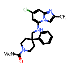 CNC(=O)N1CCC(CNc2cc(Cl)cc3nc(C(F)(F)F)cn23)(c2ccccc2)CC1